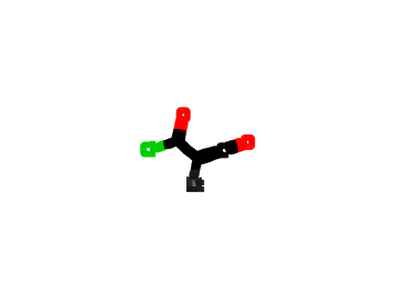 CCC(=C=O)C(=O)Cl